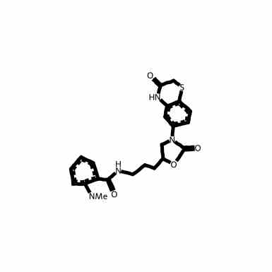 CNc1ccccc1C(=O)NCCCC1CN(c2ccc3c(c2)NC(=O)CS3)C(=O)O1